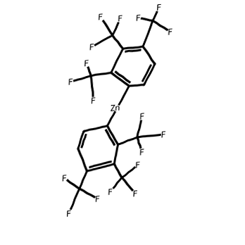 FC(F)(F)c1cc[c]([Zn][c]2ccc(C(F)(F)F)c(C(F)(F)F)c2C(F)(F)F)c(C(F)(F)F)c1C(F)(F)F